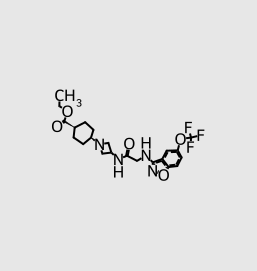 CCOC(=O)[C@H]1CC[C@@H](N2CC(NC(=O)CNc3noc4ccc(OC(F)(F)F)cc34)C2)CC1